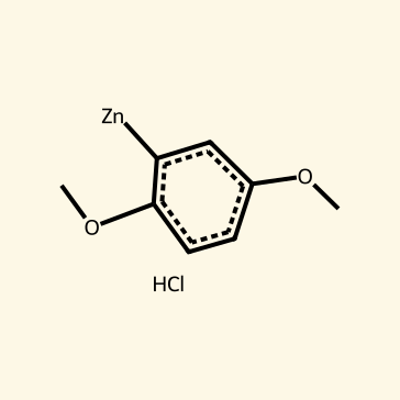 COc1ccc(OC)[c]([Zn])c1.Cl